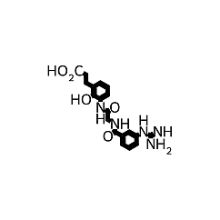 N=C(N)Nc1cccc(C(=O)NCC(=O)Nc2cccc(CCC(=O)O)c2O)c1